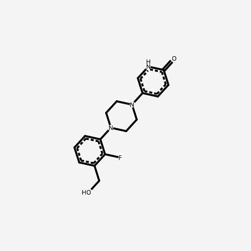 O=c1ccc(N2CCN(c3cccc(CO)c3F)CC2)c[nH]1